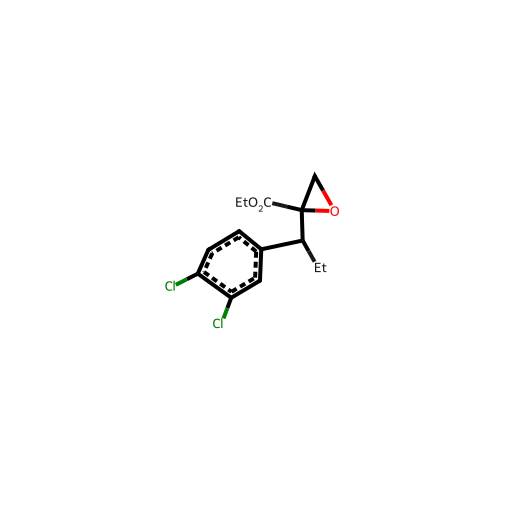 CCOC(=O)C1(C(CC)c2ccc(Cl)c(Cl)c2)CO1